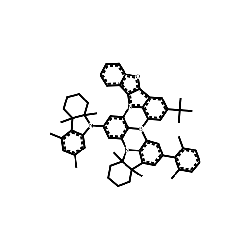 Cc1cc(C)c2c(c1)N(c1cc3c4c(c1)-n1c5c(cc(C(C)(C)C)cc5c5oc6ccccc6c51)B4c1cc(-c4c(C)cccc4C)cc4c1N3C1(C)CCCCC41C)C1(C)CCCCC21C